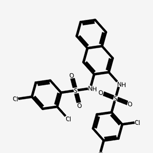 O=S(=O)(Nc1cc2ccccc2cc1NS(=O)(=O)c1ccc(Cl)cc1Cl)c1ccc(Cl)cc1Cl